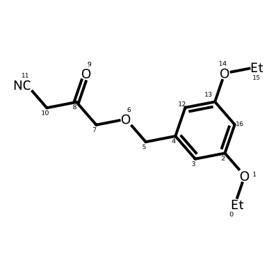 CCOc1cc(COCC(=O)CC#N)cc(OCC)c1